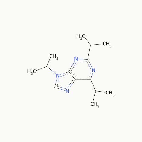 CC(C)c1nc(C(C)C)c2ncn(C(C)C)c2n1